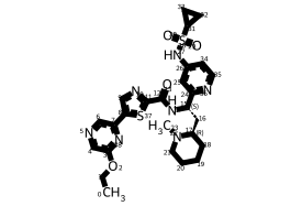 CCOc1cncc(-c2cnc(C(=O)N[C@@H](C[C@H]3CCCCN3C)c3cc(NS(=O)(=O)C4CC4)ccn3)s2)n1